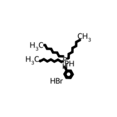 Br.CCCCCCCC[PH](CCCCCCCC)(CCCCCCCC)PCc1ccccc1